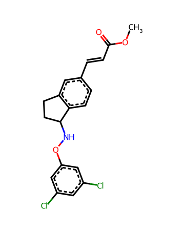 COC(=O)/C=C/c1ccc2c(c1)CCC2NOc1cc(Cl)cc(Cl)c1